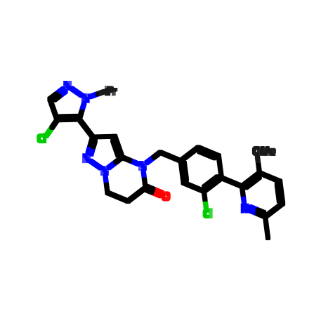 COc1ccc(C)nc1-c1ccc(CN2C(=O)CCn3nc(-c4c(Cl)cnn4C(C)C)cc32)cc1Cl